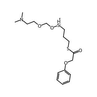 CN(C)CCOCO[SiH](C)CCCSC(=O)COc1ccccc1